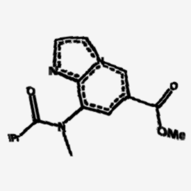 COC(=O)c1cc(N(C)C(=O)C(C)C)c2nccn2c1